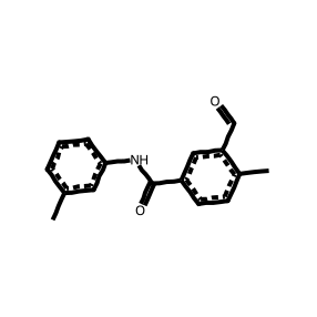 Cc1cccc(NC(=O)c2ccc(C)c(C=O)c2)c1